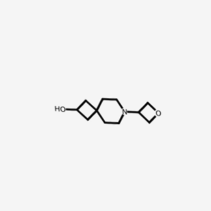 OC1CC2(CCN(C3COC3)CC2)C1